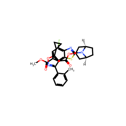 COC(=O)c1cc(F)c2nc(N3[C@@H]4CC[C@H]3C[C@@H](OC(=O)c3c(-c5ccccc5C)noc3C3CC3)C4)sc2c1